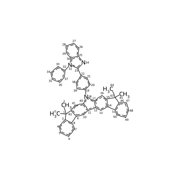 CC1(C)c2ccccc2-c2cc3c4cc5c(cc4n(-c4ccc(-c6nc7ccccc7n6-c6ccccc6)cc4)c3cc21)C(C)(C)c1ccccc1-5